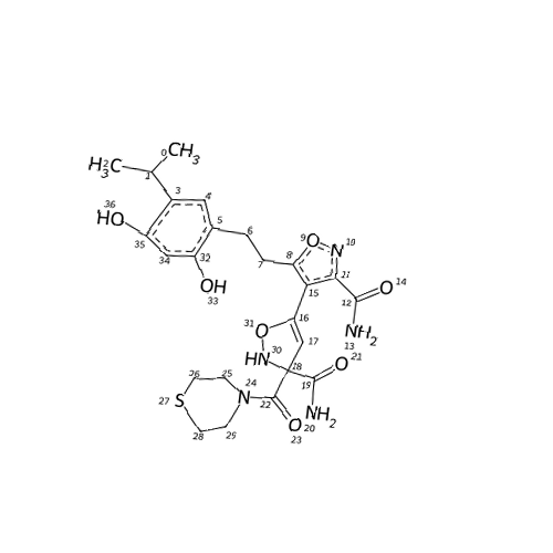 CC(C)c1cc(CCc2onc(C(N)=O)c2C2=CC(C(N)=O)(C(=O)N3CCSCC3)NO2)c(O)cc1O